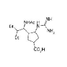 CCC(CC)C(NC(C)=O)C1CC(C(=O)O)CC1NC(=N)N